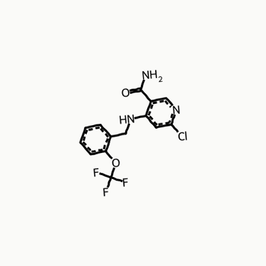 NC(=O)c1cnc(Cl)cc1NCc1ccccc1OC(F)(F)F